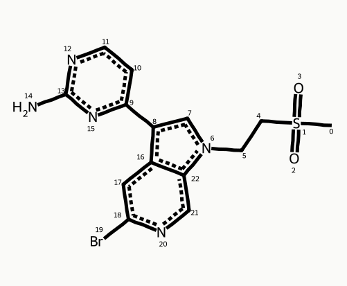 CS(=O)(=O)CCn1cc(-c2ccnc(N)n2)c2cc(Br)ncc21